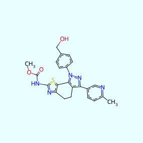 COC(=O)Nc1nc2c(s1)-c1c(c(-c3ccc(C)nc3)nn1-c1ccc(CO)cc1)CC2